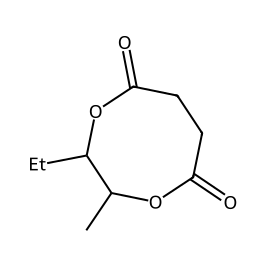 CCC1OC(=O)CCC(=O)OC1C